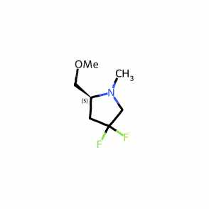 COC[C@@H]1CC(F)(F)CN1C